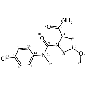 COC1CC(C(N)=O)N(C(=O)N(C)c2ccc(Cl)cc2)C1